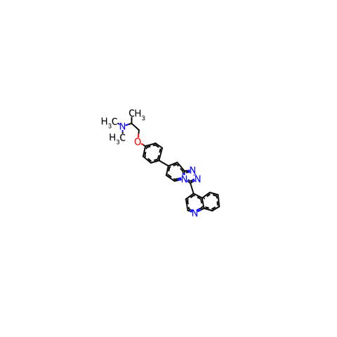 CC(COc1ccc(-c2ccn3c(-c4ccnc5ccccc45)nnc3c2)cc1)N(C)C